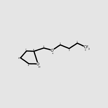 FC(F)(F)CCCOCC1CCCO1